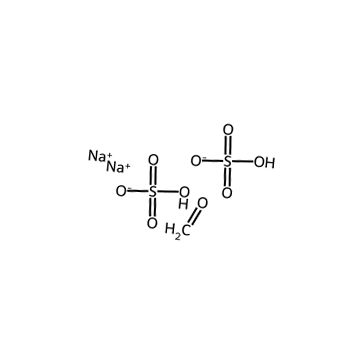 C=O.O=S(=O)([O-])O.O=S(=O)([O-])O.[Na+].[Na+]